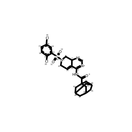 O=C(NC1=NC=NC2CN(S(=O)(=O)c3cc(Cl)ccc3Cl)CC=C12)C12CC3CC(CC(C3)C1)C2